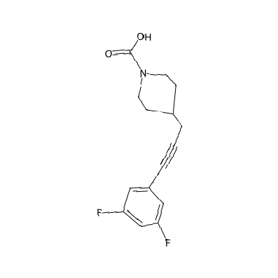 O=C(O)N1CCC(CC#Cc2cc(F)cc(F)c2)CC1